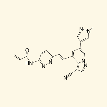 C=CC(=O)Nc1ccc(/C=C/c2cc(-c3cnn(C)c3)cn3ncc(C#N)c23)nn1